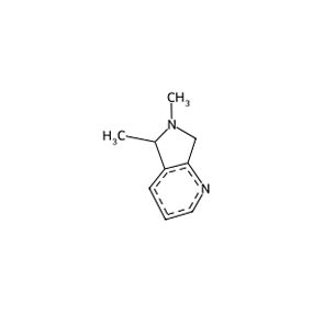 CC1c2cccnc2CN1C